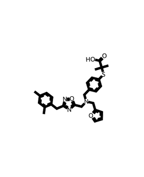 Cc1ccc(Cc2noc(CN(Cc3ccc(SC(C)(C)C(=O)O)cc3)Cc3ccco3)n2)c(C)c1